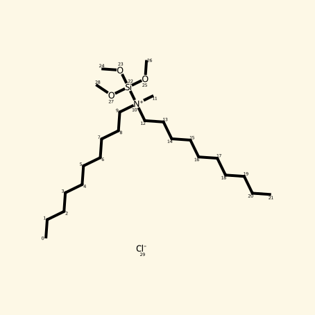 CCCCCCCCCC[N+](C)(CCCCCCCCCC)[Si](OC)(OC)OC.[Cl-]